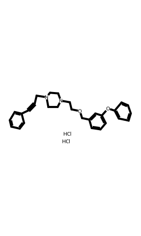 C(#Cc1ccccc1)CN1CCN(CCOCc2cccc(Oc3ccccc3)c2)CC1.Cl.Cl